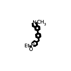 CCC(=O)N1CCC(Cc2ccc(-c3ccc4c(C)nccc4c3)cc2)CC1